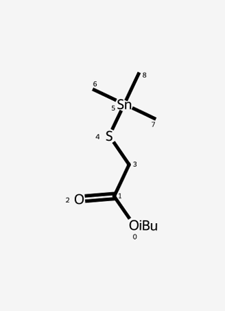 CC(C)COC(=O)C[S][Sn]([CH3])([CH3])[CH3]